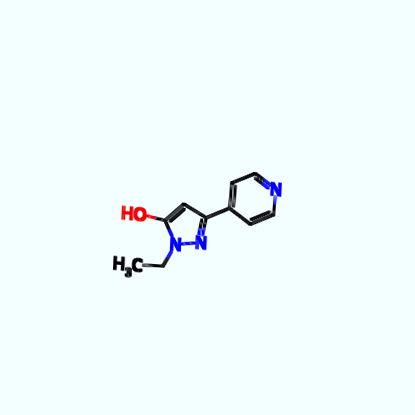 CCn1nc(-c2ccncc2)cc1O